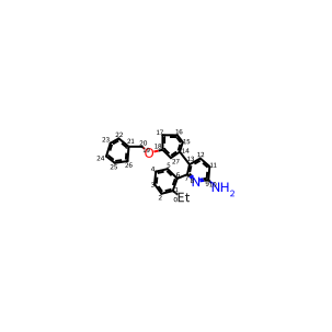 CCc1ccccc1-c1nc(N)ccc1-c1cccc(OCc2ccccc2)c1